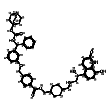 O=C(NC(c1ccccc1)c1cccc(OCc2ccc(C(=O)OCC3CCC(CNC[C@H](O)c4ccc(O)c5[nH]c(=O)ccc45)CC3)cc2)c1)OC12CCN(CC1)CC2